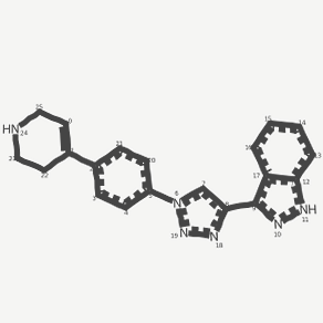 C1=C(c2ccc(-n3cc(-c4n[nH]c5ccccc45)nn3)cc2)CCNC1